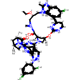 CCO[C@H]1CN(C)C(=O)[C@@H]2C[C@@H](CN2c2nc(N3[C@H]4CN(C5CC5)C(=O)[C@]3(C)C4)nc3c2cnn3-c2ccc(F)cc2F)Oc2nccc(n2)-c2cc(F)cc3nc(C)n(c23)C1